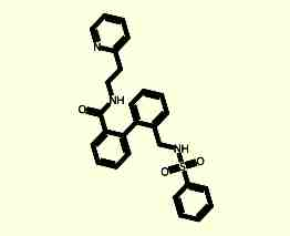 O=C(NCCc1ccccn1)c1ccccc1-c1ccccc1CNS(=O)(=O)c1ccccc1